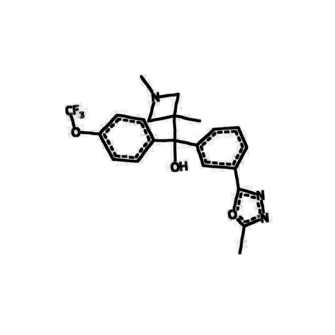 Cc1nnc(-c2cccc(C(O)(c3ccc(OC(F)(F)F)cc3)C3(C)CN(C)C3)c2)o1